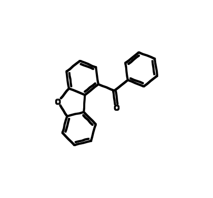 O=C(c1ccccc1)c1cccc2oc3ccccc3c12